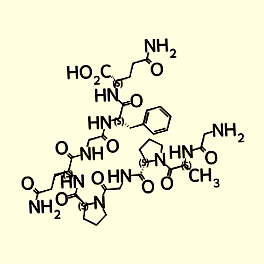 C[C@H](NC(=O)CN)C(=O)N1CCC[C@H]1C(=O)NCC(=O)N1CCC[C@H]1C(=O)N[C@@H](CCC(N)=O)C(=O)NCC(=O)N[C@@H](Cc1ccccc1)C(=O)N[C@@H](CCC(N)=O)C(=O)O